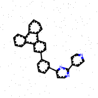 c1cc(-c2ccc3c4ccccc4c4ccccc4c3c2)cc(-c2ccnc(-c3ccncc3)n2)c1